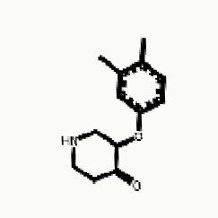 Cc1ccc(OC2CNCCC2=O)cc1C